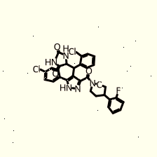 O=C1NC(=O)C(C(c2ccccc2Cl)c2c(C(=O)N3CCC(c4ccccc4F)CC3)n[nH]c2-c2ccc(Cl)cc2)N1